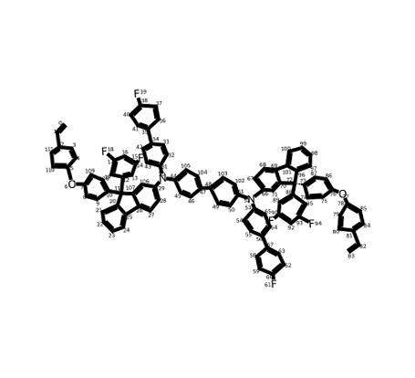 C=Cc1ccc(Oc2ccc(C3(c4cc(F)cc(F)c4)c4ccccc4-c4ccc(N(c5ccc(-c6ccc(F)cc6)cc5)c5ccc(-c6ccc(N(c7ccc(-c8ccc(F)cc8)cc7)c7ccc8c(c7)[C@](c7ccc(Oc9ccc(C=C)cc9)cc7)(c7cc(F)cc(F)c7)c7ccccc7-8)cc6)cc5)cc43)cc2)cc1